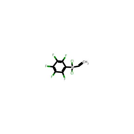 C=C[Si](Cl)(Cl)c1c(F)c(F)c(F)c(F)c1F